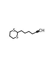 C#CCCCCC1SCCCS1